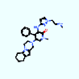 CNCCn1ccc(Nc2c(-c3ccccc3)c(N3CCn4c(cc5c4CCCC5)C3)cn(C)c2=O)n1